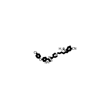 CCCc1sc(C2CCN(CCCCc3cc4cc(C#N)ccc4n3C)CC2)nc1-c1ccc(Oc2ccc(Cl)cc2)cc1